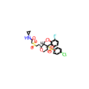 O=C(CS(=O)(=O)CC[C@@H]1OCC[C@@]2(S(=O)(=O)c3ccc(Cl)cc3)c3c(F)ccc(F)c3OC[C@@H]12)NC1CC1